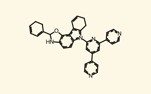 C1=CCCC(C2Nc3ccc4c(c5c(n4-c4cc(-c6ccncc6)cc(-c6ccncc6)n4)CCC=C5)c3O2)=C1